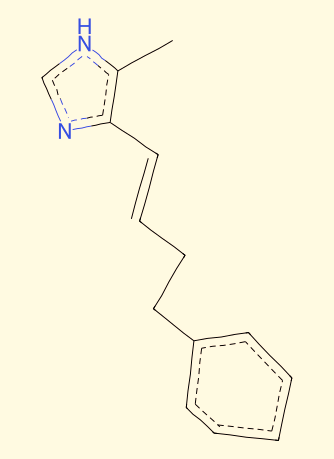 Cc1[nH]cnc1/C=C/CCc1ccccc1